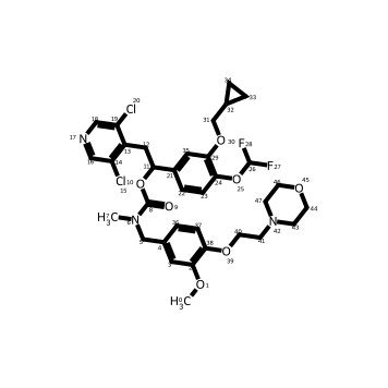 COc1cc(CN(C)C(=O)OC(Cc2c(Cl)cncc2Cl)c2ccc(OC(F)F)c(OCC3CC3)c2)ccc1OCCN1CCOCC1